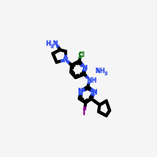 N.NC1CCN(c2ccc(Nc3ncc(I)c(C4CCCC4)n3)nc2Cl)C1